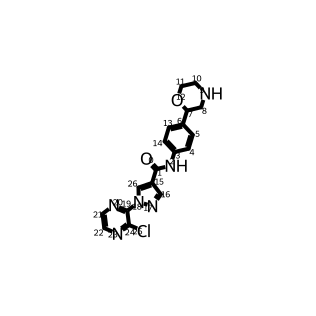 O=C(Nc1ccc(C2CNCCO2)cc1)c1cnn(-c2nccnc2Cl)c1